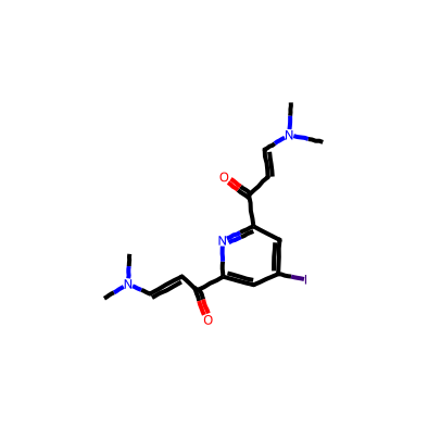 CN(C)C=CC(=O)c1cc(I)cc(C(=O)C=CN(C)C)n1